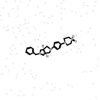 O=S1(=O)CCN(c2ccc(N3C[C@H]4CN(Cc5ccccc5)C[C@H]4C3)cc2)CC1